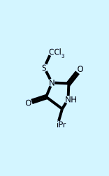 CC(C)C1NC(=O)N(SC(Cl)(Cl)Cl)C1=O